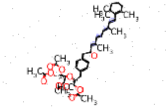 COC(=O)C(O[C@@H](Cc1ccc(CC(=O)/C=C(C)/C=C/C=C(C)/C=C/C2=C(C)CCCC2(C)C)cc1)C(C)OC(C)=O)[C@H](COC(C)=O)OC(C)=O